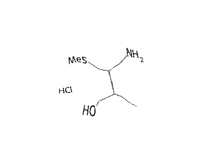 CSC(N)C(C)O.Cl